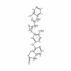 O=C1CCc2c(Oc3ccc(O)c(C4C5CC54NC(=O)Nc4ccccc4F)c3)ccnc2N1